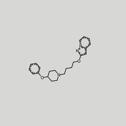 c1ccc(OC2CCN(CCCCOc3cc4ccccn4n3)CC2)cc1